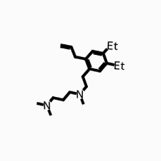 C=CCc1cc(CC)c(CC)cc1CCN(C)CCCN(C)C